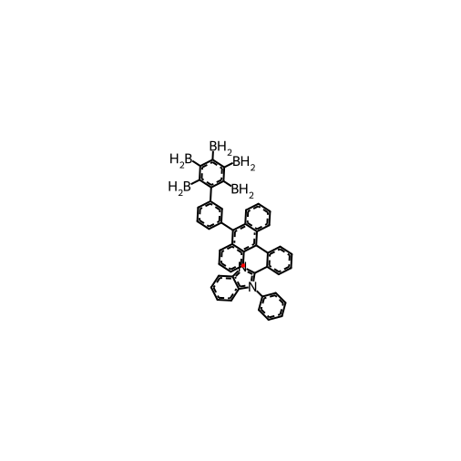 Bc1c(B)c(B)c(-c2cccc(-c3c4ccccc4c(-c4ccccc4-c4nc5ccccc5n4-c4ccccc4)c4ccccc34)c2)c(B)c1B